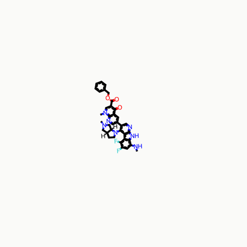 CNc1cc(F)c(F)c2c1[nH]c1ncc(-c3cnc4c(c3)c(=O)c(C(=O)OCc3ccccc3)cn4C)c(N3CC[C@@H]4CN(C)C[C@@H]43)c12